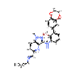 Cn1nc(Nc2cccc(-c3ccc4c(c3)OCCO4)c2Br)c2nc(C=NCC(=O)O)ccc21